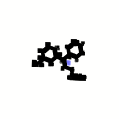 CNC/C=C(\c1cccnc1)c1cccc(Br)c1